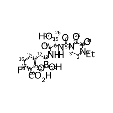 CCN1CCN(C(=O)N[C@@H](C(=O)NC2Cc3ccc(F)c(C(=O)O)c3OB2O)[C@@H](C)O)C(=O)C1=O